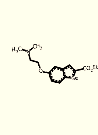 CCOC(=O)c1cc2cc(OCCN(C)C)ccc2[se]1